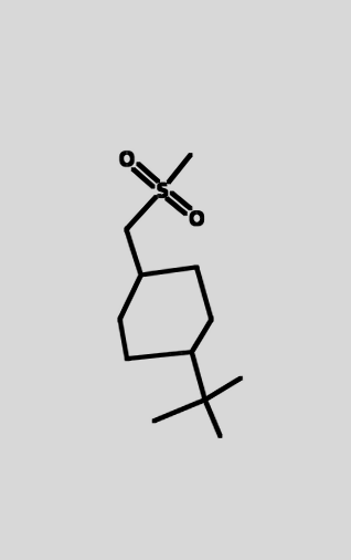 CC(C)(C)C1CCC(CS(C)(=O)=O)CC1